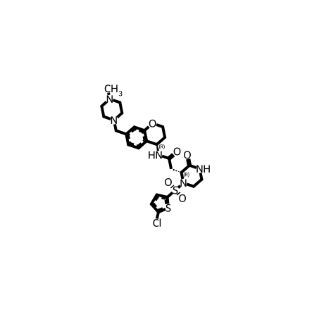 CN1CCN(Cc2ccc3c(c2)OCC[C@H]3NC(=O)C[C@@H]2C(=O)NCCN2S(=O)(=O)c2ccc(Cl)s2)CC1